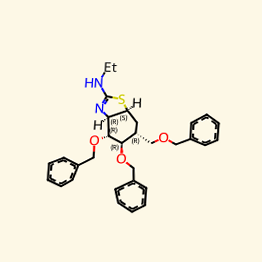 CCNC1=N[C@@H]2[C@@H](OCc3ccccc3)[C@H](OCc3ccccc3)[C@@H](COCc3ccccc3)C[C@@H]2S1